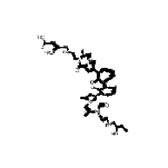 CCC(O)CNCCN(C=O)/C(C)=C\n1cc(-c2cccc(-c3cccc(-c4cc5c(=O)n(CCNCC(O)CC(=O)O)c(C)cn5c4)c3Cl)c2Cl)cc1C